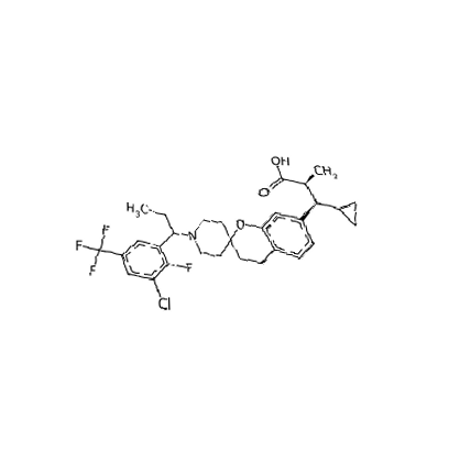 CCC(c1cc(C(F)(F)F)cc(Cl)c1F)N1CCC2(CCc3ccc([C@H](C4CC4)[C@H](C)C(=O)O)cc3O2)CC1